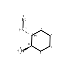 CCN[C@@H]1CCCC[C@H]1N